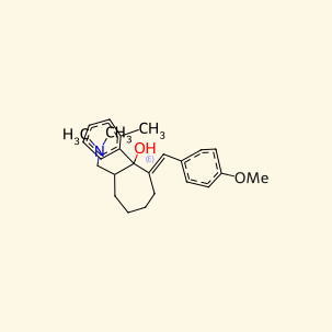 COc1ccc(/C=C2\CCCCC(CN(C)C)C2(O)c2ccccc2C)cc1